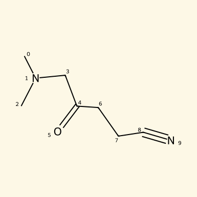 CN(C)CC(=O)CCC#N